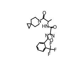 CC(NC(=O)c1noc(-c2ccccc2C(F)(F)F)n1)C(=O)N1CCC2(CC1)CC2